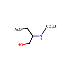 CCOC(=O)NC(CO)COC(C)=O